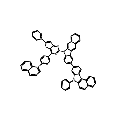 c1ccc(-c2cc3nc(-n4c5ccc(-c6ccc7c8c9ccccc9ccc8n(-c8ccccc8)c7c6)cc5c5cc6ccccc6cc54)nc(-c4ccc(-c5cccc6ccccc56)cc4)c3s2)cc1